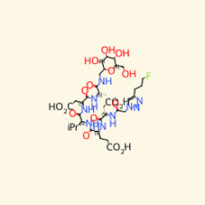 CC(C)[C@H](NC(=O)[C@H](CCC(=O)O)NC(=O)[C@H](CC(=O)O)NC(=O)Cn1cc(CCCF)nn1)C(=O)N[C@@H](CC(=O)O)C(=O)N[C@@H](C)C(=O)NCC1O[C@H](CO)C(O)C(O)[C@H]1O